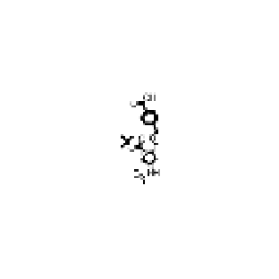 C[S+]([O-])N[C@H]1C[C@@H](COCc2ccc(C(=O)O)cc2)N(C(=O)OC(C)(C)C)C1